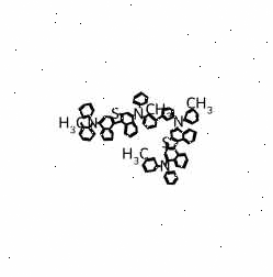 Cc1cccc(N(c2ccccc2)c2cc3sc4cc(N(c5cccc(C)c5)c5cccc(-c6cccc(N(c7ccccc7C)c7cc8sc9cc(N(c%10ccccc%10)c%10ccccc%10C)c%10ccccc%10c9c8c8ccccc78)c6)c5)c5ccccc5c4c3c3ccccc23)c1